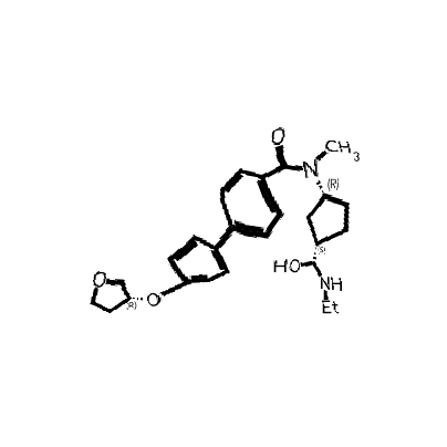 CCNC(O)[C@H]1CC[C@@H](N(C)C(=O)c2ccc(-c3ccc(O[C@@H]4CCOC4)cc3)cc2)C1